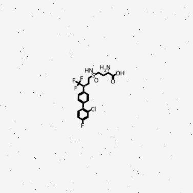 N=S(=O)(CCC(c1ccc(-c2ccc(F)cc2Cl)cc1)C(F)(F)F)CC[C@H](N)C(=O)O